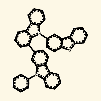 c1ccc(-n2c3ccccc3c3ccc(-c4cccc5c6ccccc6n(-c6ccc7sc8ccccc8c7c6)c45)cc32)cc1